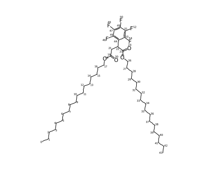 CCCCCCCCCCCCCCCCCCOC(=O)CC(C(=O)OCCCCCCCCCCCCCCCCCC)c1c(F)c(F)c(F)c(F)c1F